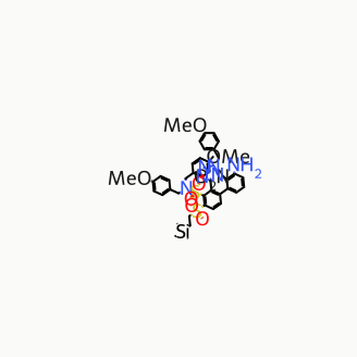 COc1ccc(CN(Cc2ccc(OC)cc2)S(=O)(=O)c2c(S(=O)(=O)CC[Si](C)(C)C)ccc(-c3cccc(N)c3[N+](=O)[O-])c2-c2nnn(Cc3ccc(OC)cc3)n2)cc1